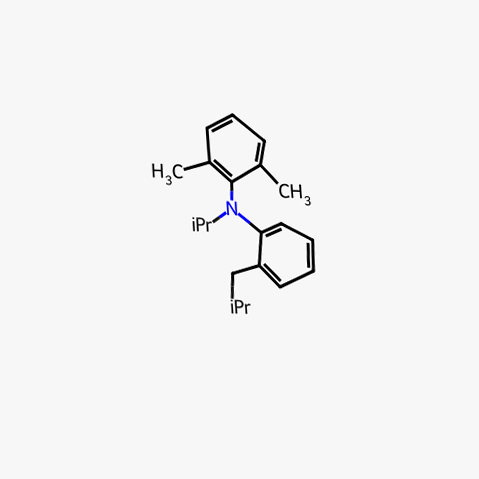 Cc1cccc(C)c1N(c1ccccc1CC(C)C)C(C)C